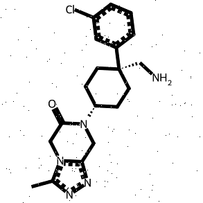 Cc1nnc2n1CC(=O)N([C@H]1CC[C@](CN)(c3cccc(Cl)c3)CC1)C2